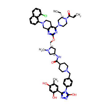 C=CC(=O)N1CCN(c2nc(OC[C@@H]3C[C@@H](NC(=O)C4CCN(Cc5ccc(-n6c(O)nnc6-c6cc(C)c(O)cc6O)cc5)CC4)CN3C)nc3c2CCN(c2cccc4cccc(Cl)c24)C3)C[C@@H]1CC#N